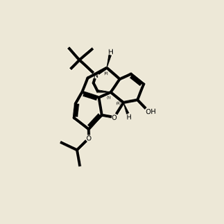 CC(C)Oc1ccc2c3c1O[C@H]1C(O)C=CC4[C@@H](C2)N(C(C)(C)C)CC[C@@]341